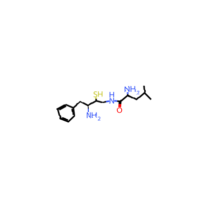 CC(C)C[C@H](N)C(=O)NCC(S)[C@@H](N)Cc1ccccc1